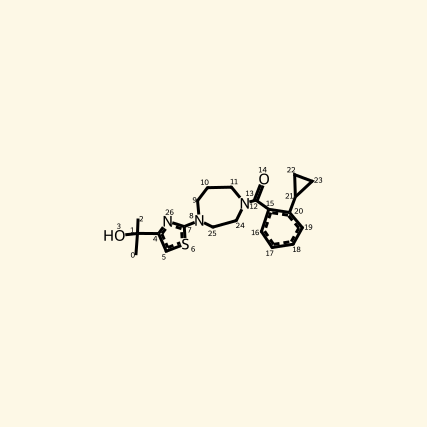 CC(C)(O)c1csc(N2CCCN(C(=O)c3ccccc3C3CC3)CC2)n1